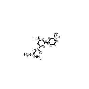 Cl.NC(N)=NC(=O)c1cccc(-c2cccc(C(F)(F)F)c2)c1